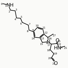 CNCCCCCCCc1ccc2c(c1)CN(C(CCC=O)C(=O)NC)C2C